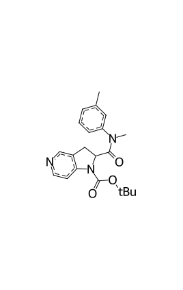 Cc1cccc(N(C)C(=O)C2Cc3cnccc3N2C(=O)OC(C)(C)C)c1